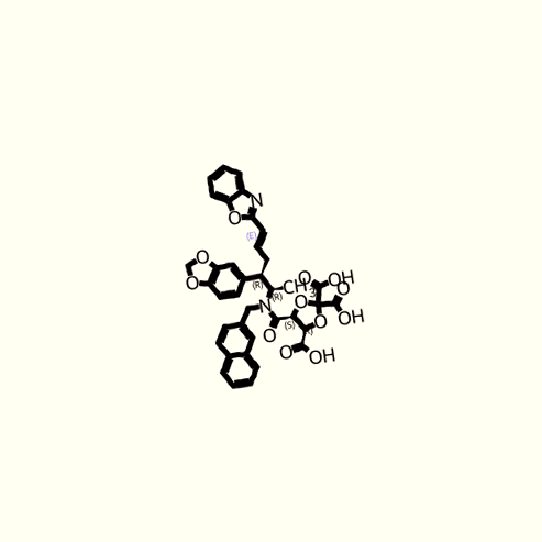 C[C@H]([C@H](C/C=C/c1nc2ccccc2o1)c1ccc2c(c1)OCO2)N(Cc1ccc2ccccc2c1)C(=O)[C@H]1OC(C(=O)O)(C(=O)O)O[C@H]1C(=O)O